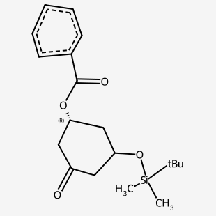 CC(C)(C)[Si](C)(C)OC1CC(=O)C[C@H](OC(=O)c2ccccc2)C1